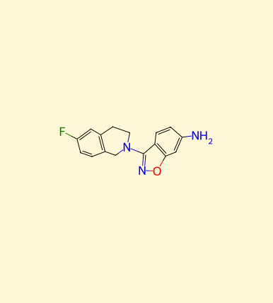 Nc1ccc2c(N3CCc4cc(F)ccc4C3)noc2c1